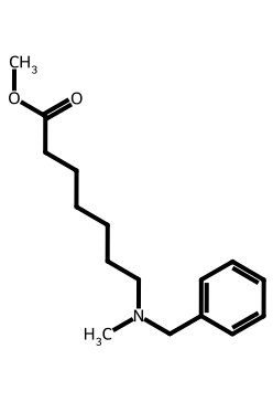 COC(=O)CCCCCCN(C)Cc1ccccc1